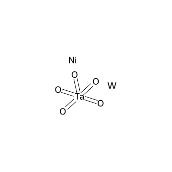 [Ni].[O]=[Ta](=[O])(=[O])(=[O])=[O].[W]